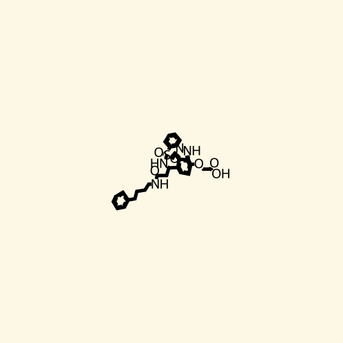 O=C(O)COc1ccc(C(CC(=O)NCCCCc2ccccc2)NS(=O)(=O)c2ccccc2)c2cn[nH]c12